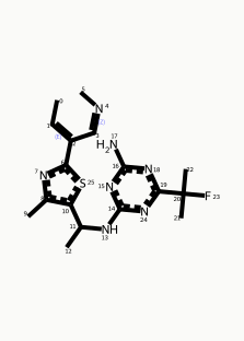 C/C=C(\C=N/C)c1nc(C)c(C(C)Nc2nc(N)nc(C(C)(C)F)n2)s1